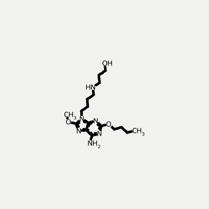 CCCCOc1nc(N)c2nc(OC)n(CCCCNCCCO)c2n1